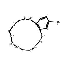 CCCCc1ccc2c(c1)OCCOCCOCCOCCO2